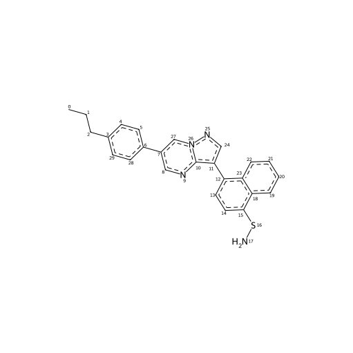 CCCc1ccc(-c2cnc3c(-c4ccc(SN)c5ccccc45)cnn3c2)cc1